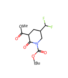 COC(=O)C1CC(C(F)F)CN(C(=O)OC(C)(C)C)C1=O